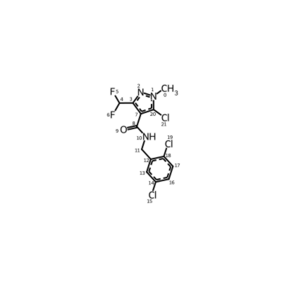 Cn1nc(C(F)F)c(C(=O)NCc2cc(Cl)ccc2Cl)c1Cl